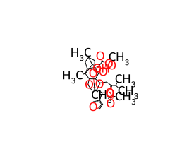 COC(=O)CC1C2(C)CC3(O)C(OC=O)C45OC6(C)OC3(C2)C1(C)C4(CCC(C(OC(C)=O)c1ccoc1)C5CC(=O)C(C)C)O6